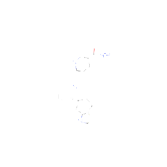 CNC(=O)c1cnc2c(c1)CCN([C@@H](C)c1ccc3scnc3c1)CC2